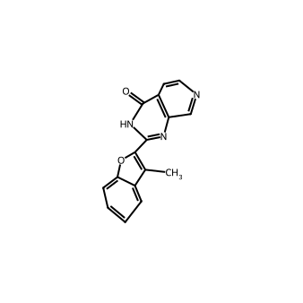 Cc1c(-c2nc3cnccc3c(=O)[nH]2)oc2ccccc12